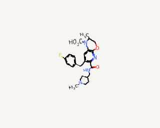 CC1COc2nc(C(=O)NCC3CCN(C)CC3)c(Cc3ccc(F)cc3)cc2N1C(=O)O